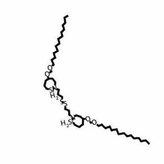 CCCCCCCCCCCCCCCOCOC1CCC[SiH2]N(CCCSSCCCN2CCC(OCOCCCCCCCCCCCCCCC)CCC[SiH2]2)CC1